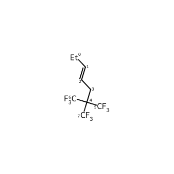 CCC=CCC(C(F)(F)F)(C(F)(F)F)C(F)(F)F